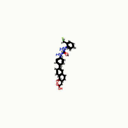 O=C(O)CC1CCc2cc(-c3ccc(NC(=O)Nc4ccccc4CF)cc3)ccc2C1=O